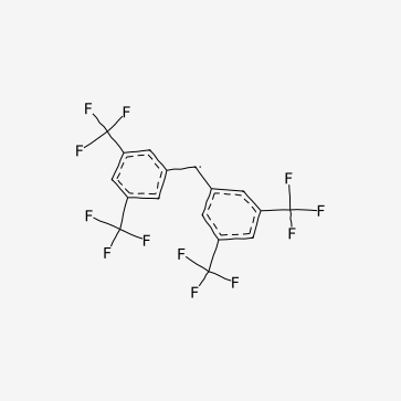 FC(F)(F)c1cc([CH]c2cc(C(F)(F)F)cc(C(F)(F)F)c2)cc(C(F)(F)F)c1